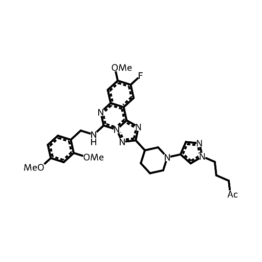 COc1ccc(CNc2nc3cc(OC)c(F)cc3c3nc(C4CCCN(c5cnn(CCCC(C)=O)c5)C4)nn23)c(OC)c1